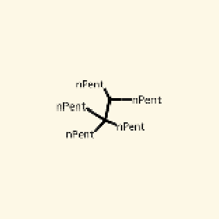 CCCCCC(CCCCC)C(CCCCC)(CCCCC)CCCCC